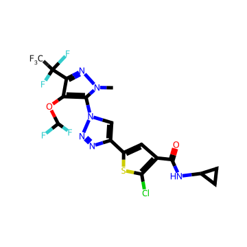 Cn1nc(C(F)(F)C(F)(F)F)c(OC(F)F)c1-n1cc(-c2cc(C(=O)NC3CC3)c(Cl)s2)nn1